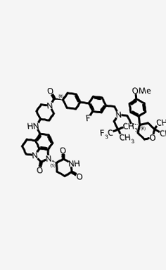 COc1ccc([C@]2(CCN(Cc3ccc(C4=CC[C@H](C(=O)N5CCC(Nc6ccc7c8c6CCCn8c(=O)n7[C@H]6CCC(=O)NC6=O)CC5)CC4)c(F)c3)CC(C)(C)C(F)(F)F)CCOC(C)(C)C2)cc1